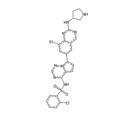 CCc1cc(-c2ccc3c(NS(=O)(=O)c4ccccc4Cl)ncnn23)cc2cnc(NC3CCNC3)nc12